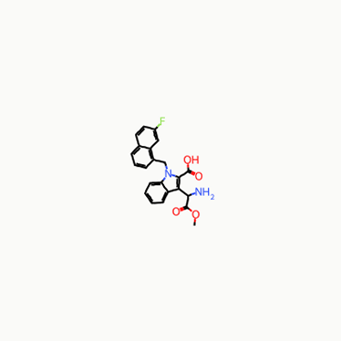 COC(=O)C(N)c1c(C(=O)O)n(Cc2cccc3ccc(F)cc23)c2ccccc12